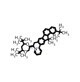 CC(C)(C)c1ccc2ccc3c(c2c1)C(C)(C)c1cc2c(cc1-3)C/C(=C1/COC(C(C)(C)C)CC(C(C)(C)C)O1)[n+]1ccccc1-2